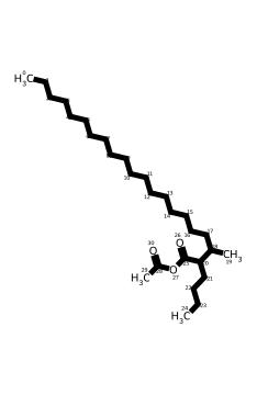 CCCCCCCCCCCCCCCCCCC(C)C(CCCC)C(=O)OC(C)=O